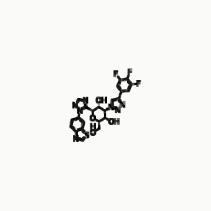 OC[C@H]1O[C@@H](c2ncnn2-c2ccc3ncsc3c2)[C@H](O)[C@@H](n2cc(-c3cc(F)c(F)c(F)c3)nn2)[C@H]1O